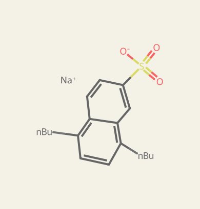 CCCCc1ccc(CCCC)c2cc(S(=O)(=O)[O-])ccc12.[Na+]